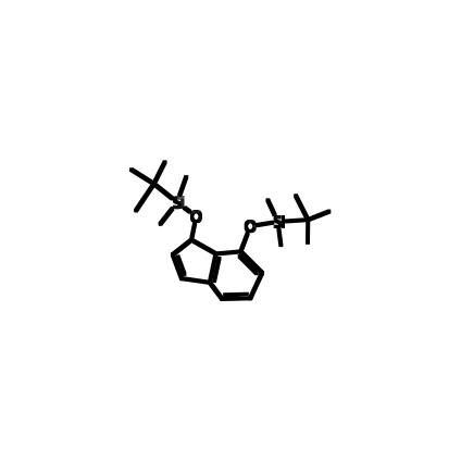 CC(C)(C)[Si](C)(C)Oc1cccc2c1C(O[Si](C)(C)C(C)(C)C)C=C2